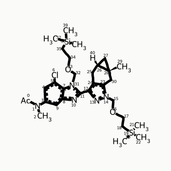 CC(=O)N(C)c1cc(Cl)c2c(c1)nc(-c1nn(COCC[Si](C)(C)C)c3c1C[C@@H]1C[C@]1(C)C3)n2COCC[Si](C)(C)C